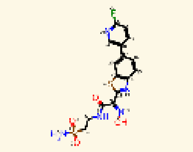 NS(=O)(=O)CCNC(=O)C(=NO)c1nc2ccc(-c3ccc(F)nc3)cc2s1